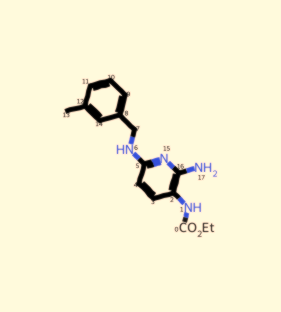 CCOC(=O)Nc1ccc(NCc2cccc(C)c2)nc1N